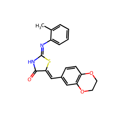 Cc1ccccc1/N=C1/NC(=O)/C(=C/c2ccc3c(c2)OCCO3)S1